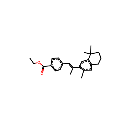 CCOC(=O)c1ccc(/C=C(\C)c2cc3c(cc2C)CCCC3(C)C)cc1